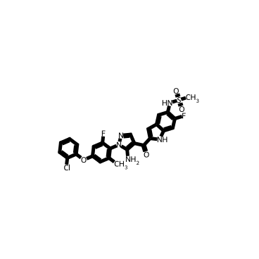 Cc1cc(Oc2ccccc2Cl)cc(F)c1-n1ncc(C(=O)c2cc3cc(NS(C)(=O)=O)c(F)cc3[nH]2)c1N